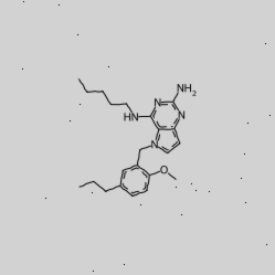 CCCCCNc1nc(N)nc2ccn(Cc3cc(CCC)ccc3OC)c12